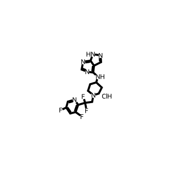 Cl.Fc1cnc(C(F)(F)CN2CCC(Nc3ncnc4[nH]ncc34)CC2)c(F)c1